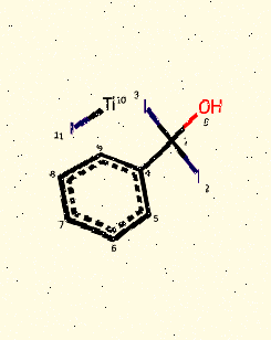 OC(I)(I)c1ccccc1.[Ti][I]